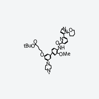 COc1cc(-c2cc(OCCCC(=O)OC(C)(C)C)cc(N3CCN(C)CC3)c2)ccc1NC(=O)c1cccc(-c2ccnn2C2CCCCO2)n1